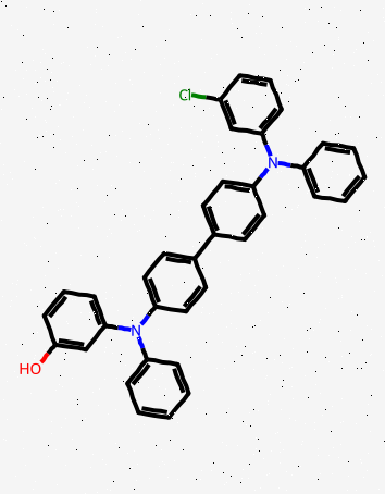 Oc1cccc(N(c2ccccc2)c2ccc(-c3ccc(N(c4ccccc4)c4cccc(Cl)c4)cc3)cc2)c1